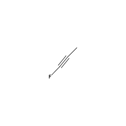 CC#CF